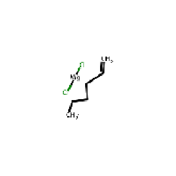 [CH2]CCCC=C.[Cl][Mg][Cl]